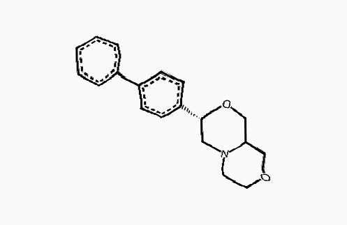 c1ccc(-c2ccc([C@H]3CN4CCOCC4CO3)cc2)cc1